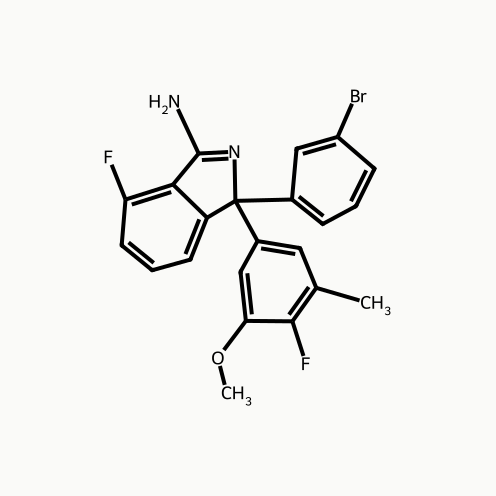 COc1cc(C2(c3cccc(Br)c3)N=C(N)c3c(F)cccc32)cc(C)c1F